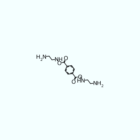 NCCNOC(=O)c1ccc(C(=O)ONCCN)cc1